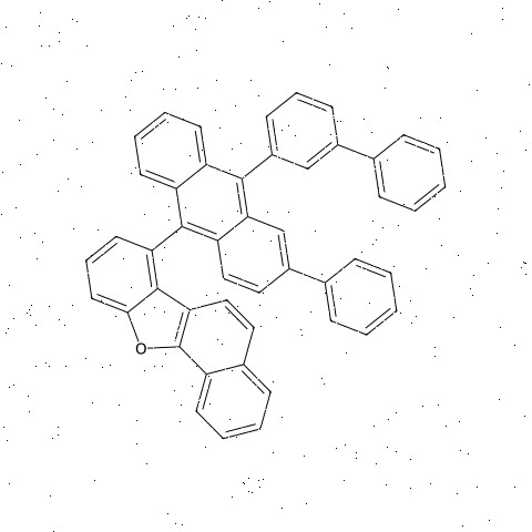 c1ccc(-c2cccc(-c3c4ccccc4c(-c4cccc5oc6c7ccccc7ccc6c45)c4ccc(-c5ccccc5)cc34)c2)cc1